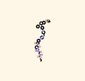 C=CCOC(=O)NCC(=O)NCN1C(=O)CC[C@H](N2Cc3cc(N4CCN(CC5CCN(c6ccc([C@@H]7c8ccc(O[Si](C)(C)C(C)(C)C)cc8CC[C@@H]7c7ccccc7)cc6)CC5)CC4)ccc3C2=O)C1=O